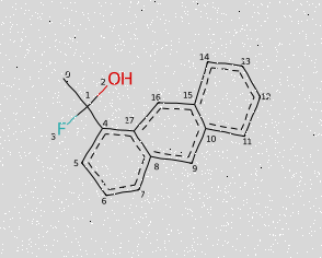 CC(O)(F)c1cccc2cc3ccccc3cc12